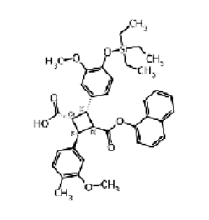 CC[Si](CC)(CC)Oc1ccc([C@H]2[C@@H](C(=O)O)[C@H](c3ccc(C)c(OC)c3)[C@@H]2C(=O)Oc2cccc3ccccc23)cc1OC